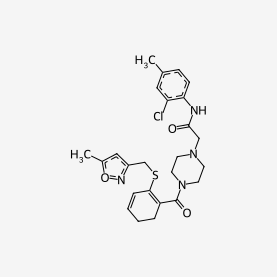 Cc1ccc(NC(=O)CN2CCN(C(=O)C3=C(SCc4cc(C)on4)C=CCC3)CC2)c(Cl)c1